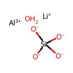 O.[Al+3].[Li+].[O-][Si]([O-])([O-])[O-]